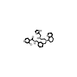 O=C(NCc1cccc(CN(CCNCc2ncc[nH]2)C2CCCc3cccnc32)c1)c1ccncc1Cl